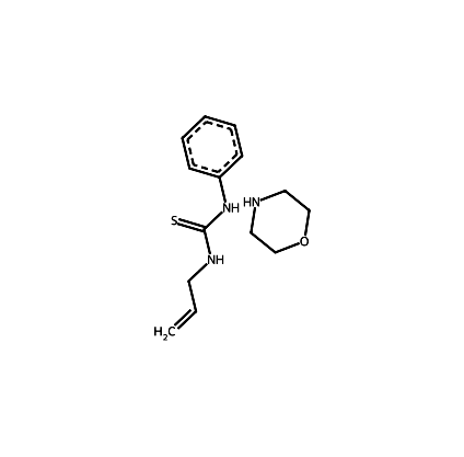 C1COCCN1.C=CCNC(=S)Nc1ccccc1